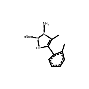 CCCCCCCCCN1NC(c2ccccc2C)=C(C)N1N